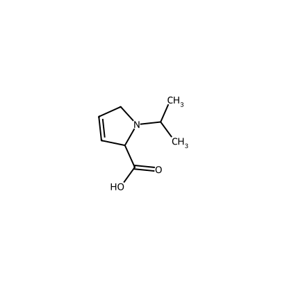 CC(C)N1CC=CC1C(=O)O